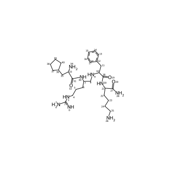 N=C(N)NCCCC(CNC(Cc1ccccc1)C(=O)NC(CCCCN)C(N)=O)NC(=O)C(N)CC1CCCC1